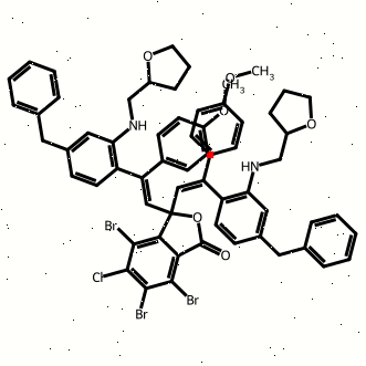 COc1ccc(C(=CC2(C=C(c3ccc(OC)cc3)c3ccc(Cc4ccccc4)cc3NCC3CCCO3)OC(=O)c3c(Br)c(Br)c(Cl)c(Br)c32)c2ccc(Cc3ccccc3)cc2NCC2CCCO2)cc1